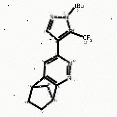 CC(C)(C)n1ncc(-c2cc3c(nn2)C2CCC3C2)c1C(F)(F)F